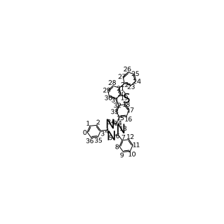 c1ccc(-c2nc(-c3ccccc3)nc(-c3ccc4sc5c(-c6ccccc6)cccc5c4c3)n2)cc1